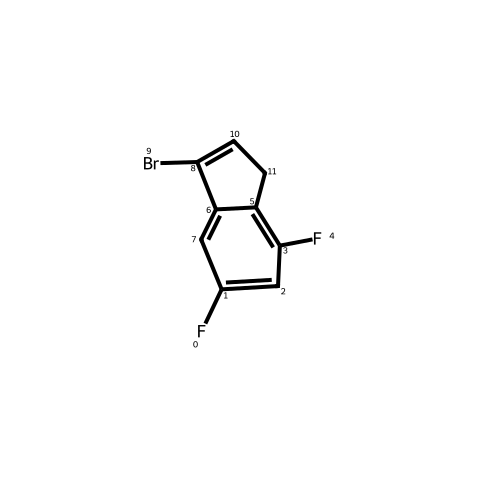 Fc1cc(F)c2c(c1)C(Br)=CC2